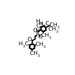 Cc1cc(C)c(C(=O)CC[PH](=O)C(=O)c2c(C)cc(C(C)(C)C)cc2C)c(C)c1